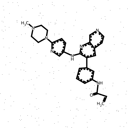 C=CC(=O)Nc1cccc(-c2cc3ccncc3nc2Nc2ccc(N3CCN(C)CC3)nc2)c1